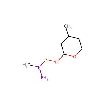 CC1CCOC(OSP(C)P)C1